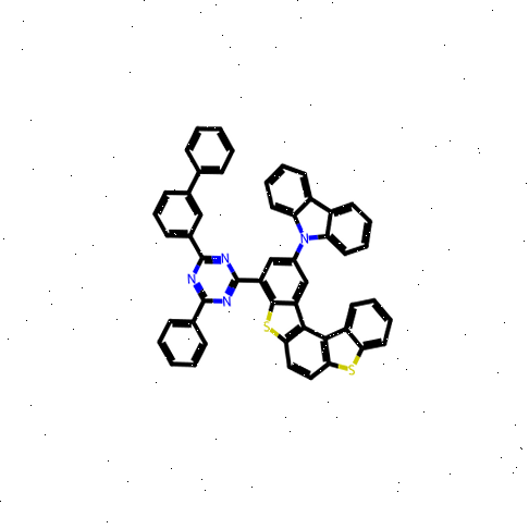 c1ccc(-c2cccc(-c3nc(-c4ccccc4)nc(-c4cc(-n5c6ccccc6c6ccccc65)cc5c4sc4ccc6sc7ccccc7c6c45)n3)c2)cc1